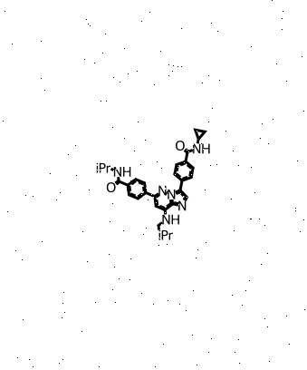 CC(C)CNc1cc(-c2ccc(C(=O)NC(C)C)cc2)nn2c(-c3ccc(C(=O)NC4CC4)cc3)cnc12